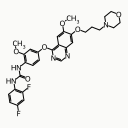 COc1cc(Oc2ncnc3cc(OCCCN4CCOCC4)c(OC)cc23)ccc1NC(=O)Nc1ccc(F)cc1F